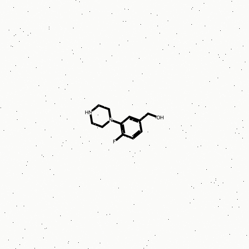 OCc1ccc(F)c(N2CCNCC2)c1